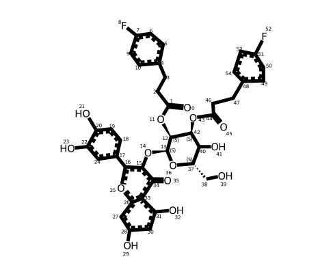 O=C(CCc1ccc(F)cc1)O[C@@H]1[C@H](Oc2c(-c3ccc(O)c(O)c3)oc3cc(O)cc(O)c3c2=O)O[C@@H](CO)C(O)[C@@H]1OC(=O)CCc1ccc(F)cc1